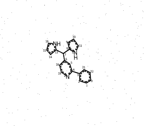 c1ccc(-c2cc(C(c3ccc[nH]3)c3ccc[nH]3)ccn2)cc1